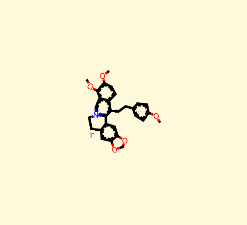 COc1ccc(CCc2c3[n+](cc4c(OC)c(OC)ccc24)CCc2cc4c(cc2-3)OCO4)cc1.[I-]